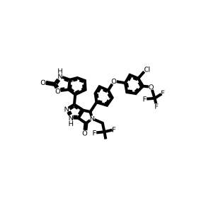 CC(F)(F)CN1C(=O)c2[nH]nc(-c3cccc4[nH]c(=O)oc34)c2C1c1ccc(Oc2ccc(OC(F)(F)F)c(Cl)c2)cc1